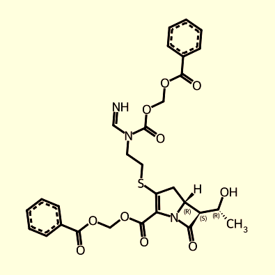 C[C@@H](O)[C@H]1C(=O)N2C(C(=O)OCOC(=O)c3ccccc3)=C(SCCN(C=N)C(=O)OCOC(=O)c3ccccc3)C[C@H]12